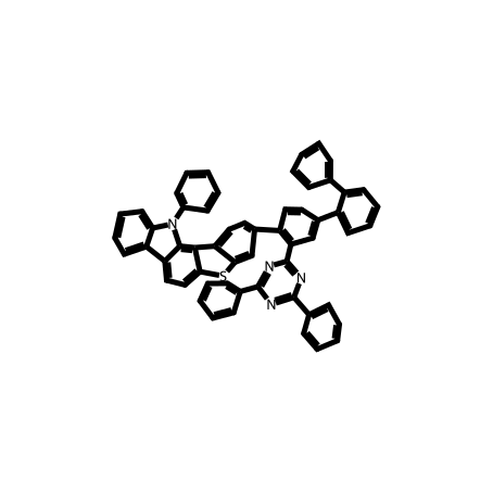 c1ccc(-c2nc(-c3ccccc3)nc(-c3cc(-c4ccccc4-c4ccccc4)ccc3-c3ccc4c(c3)sc3ccc5c6ccccc6n(-c6ccccc6)c5c34)n2)cc1